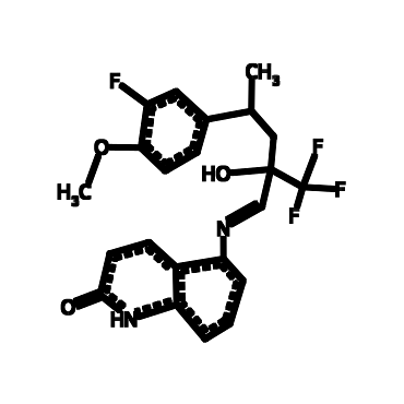 COc1ccc(C(C)CC(O)(C=Nc2cccc3[nH]c(=O)ccc23)C(F)(F)F)cc1F